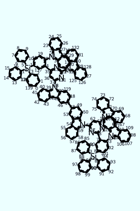 c1ccc([Si](c2ccccc2)(c2ccccc2)c2ccc(-n3c4ccccc4c4ccccc43)c(-c3cc(-n4c5ccccc5c5cc(-c6ccc7c(c6)c6ccccc6n7-c6cc(-n7c8ccccc8c8ccccc87)nc(-c7cc([Si](c8ccccc8)(c8ccccc8)c8ccccc8)ccc7-n7c8ccccc8c8ccccc87)n6)ccc54)nc(-n4c5ccccc5c5ccccc54)n3)c2)cc1